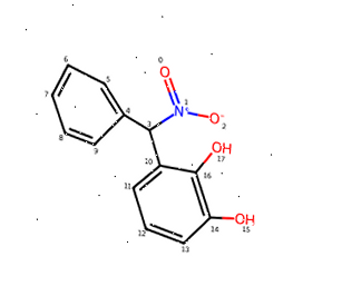 O=[N+]([O-])C(c1ccccc1)c1cccc(O)c1O